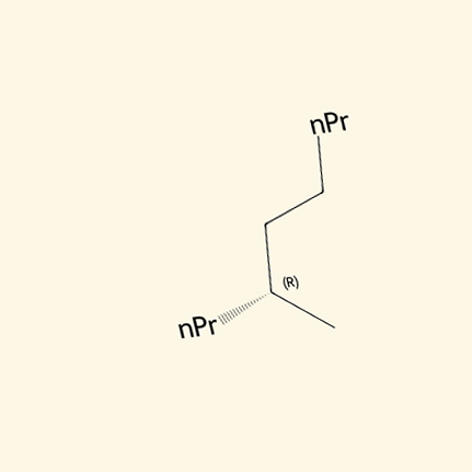 CCCCC[C@H](C)CCC